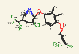 Cc1c(OCC=C(Br)Br)ccc(Oc2ncc(C(F)(F)F)cc2Cl)c1C